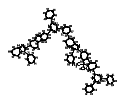 CC1(C)c2cc(-c3nc(-c4ccccc4)nc(-c4ccccc4)n3)ccc2-c2ccc(-c3nc4cc(-c5cccc(-c6nc(-c7ccccc7)nc(-c7ccc8c(c7)sc7cc(-c9nc%10ccccn%10c9-c9ccccc9)ccc78)n6)c5)ccn4c3-c3ccccc3)cc21